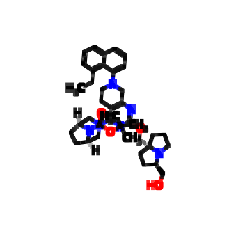 CCc1cccc2cccc(N3CCc4c(nc(OC[C@]56CCCN5[C@@H](CO)CC6)nc4N4C[C@H]5CC[C@@H](C4)N5C(=O)OC(C)(C)C)C3)c12